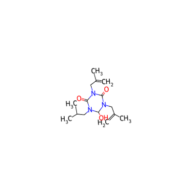 C=C(C)CN1C(=O)N(CC(=C)C)C(O)N(CC(C)C)C1=O